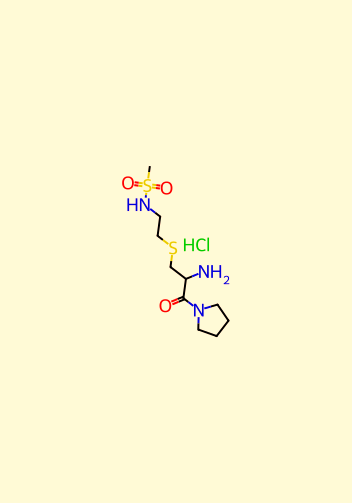 CS(=O)(=O)NCCSCC(N)C(=O)N1CCCC1.Cl